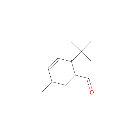 CC1C=C[C](C(C)(C)C)C(C=O)C1